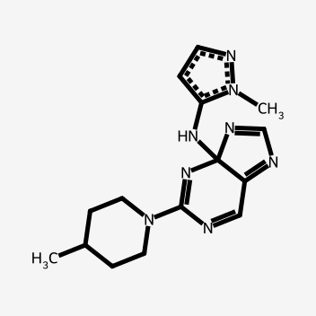 CC1CCN(C2=NC3(Nc4ccnn4C)N=CN=C3C=N2)CC1